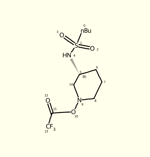 CCCCS(=O)(=O)N[C@@H]1CCCN(OC(=O)C(F)(F)F)C1